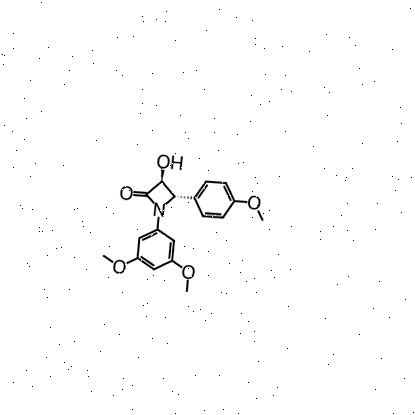 COc1ccc([C@H]2[C@H](O)C(=O)N2c2cc(OC)cc(OC)c2)cc1